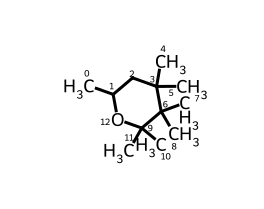 CC1CC(C)(C)C(C)(C)C(C)(C)O1